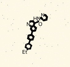 CCC1CCC(c2ccc(-c3ccc4c(C(=O)Nc5ccccn5)ccnc4c3)cc2)CC1